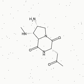 CN[C@H]1C2C(=O)N[C@@H](CC(C)=O)C(=O)N2C[C@H]1N